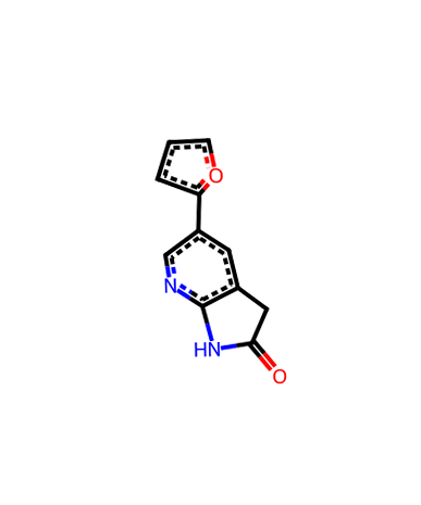 O=C1Cc2cc(-c3ccco3)cnc2N1